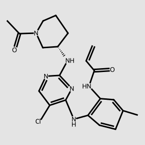 C=CC(=O)Nc1cc(C)ccc1Nc1nc(N[C@H]2CCCN(C(C)=O)C2)ncc1Cl